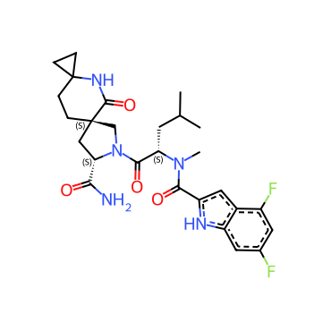 CC(C)C[C@@H](C(=O)N1C[C@]2(CCC3(CC3)NC2=O)C[C@H]1C(N)=O)N(C)C(=O)c1cc2c(F)cc(F)cc2[nH]1